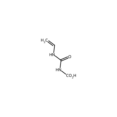 C=CNC(=O)NC(=O)O